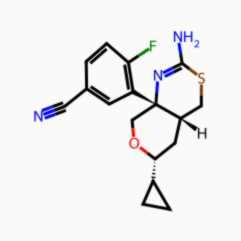 N#Cc1ccc(F)c([C@]23CO[C@@H](C4CC4)C[C@H]2CSC(N)=N3)c1